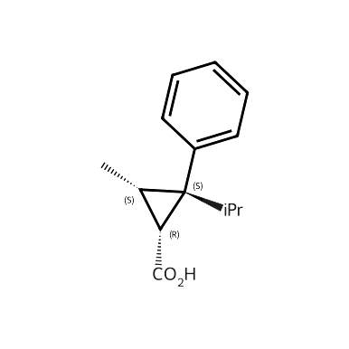 CC(C)[C@@]1(c2ccccc2)[C@H](C(=O)O)[C@@H]1C